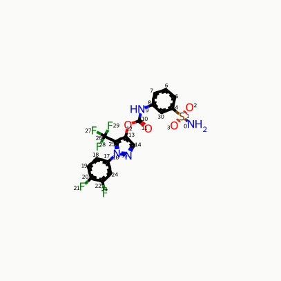 NS(=O)(=O)c1cccc(NC(=O)Oc2cnn(-c3ccc(F)c(F)c3)c2C(F)(F)F)c1